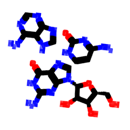 Nc1cc[nH]c(=O)n1.Nc1nc2c(ncn2[C@@H]2O[C@H](CO)[C@@H](O)[C@H]2O)c(=O)[nH]1.Nc1ncnc2nc[nH]c12